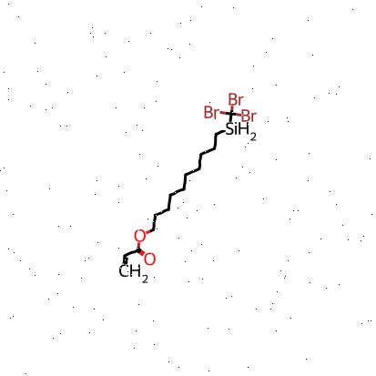 C=CC(=O)OCCCCCCCCCC[SiH2]C(Br)(Br)Br